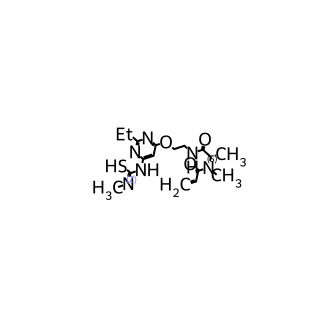 C=CC(=O)N(C)[C@@H](C)C(=O)NCCOc1cc(N/C(S)=N/C)nc(CC)n1